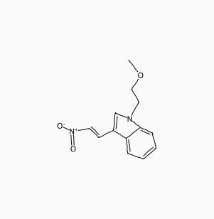 COCCn1cc(/C=C/[N+](=O)[O-])c2ccccc21